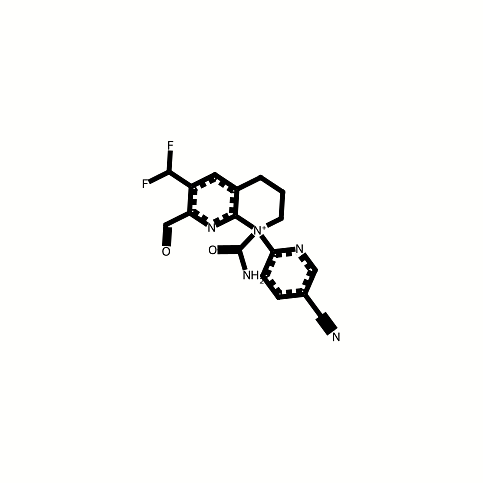 N#Cc1ccc([N+]2(C(N)=O)CCCc3cc(C(F)F)c(C=O)nc32)nc1